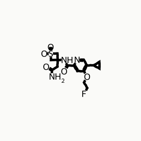 NC(=O)CC1(NC(=O)c2cc(OCCF)c(C3CC3)cn2)CS(=O)(=O)C1